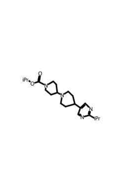 CC(C)OC(=O)N1CCC(N2CCC(c3cnc(C(C)C)nc3)CC2)CC1